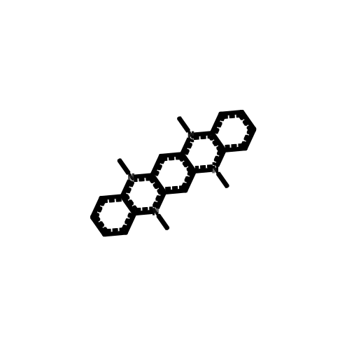 Cn1c2ccccc2n(C)c2cc3c(cc21)n(C)c1ccccc1n3C